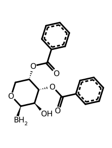 B[C@H]1OC[C@H](OC(=O)c2ccccc2)[C@H](OC(=O)c2ccccc2)[C@H]1O